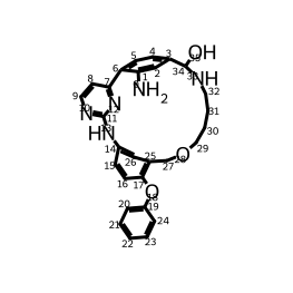 Nc1cc2ccc1-c1ccnc(n1)Nc1ccc(Oc3ccccc3)c(c1)COCCCCNC2O